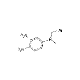 CN(CO)c1ccc([N+](=O)[O-])c(N)c1